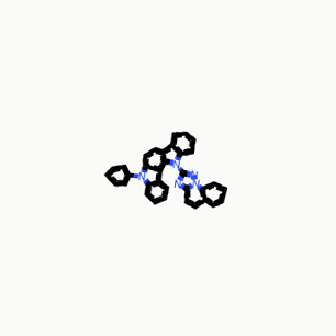 c1ccc(-n2c3ccccc3c3c2ccc2c4ccccc4n(-c4nc5ccc6ccccc6n5n4)c23)cc1